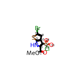 COC(=O)c1[nH]c2sc(Br)cc2c1S(=O)(=O)Cl